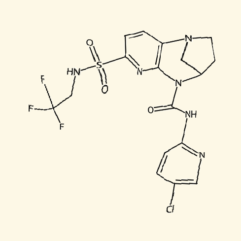 O=C(Nc1ccc(Cl)cn1)N1c2nc(S(=O)(=O)NCC(F)(F)F)ccc2N2CCC1C2